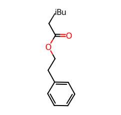 CCC(C)CC(=O)OCCc1ccccc1